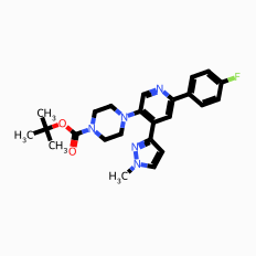 Cn1ccc(-c2cc(-c3ccc(F)cc3)ncc2N2CCN(C(=O)OC(C)(C)C)CC2)n1